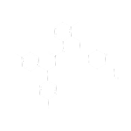 C[C@@H]1O[C@H](CCc2c(F)cccc2NC(=O)CC(c2ccc(F)cc2)c2ccc(F)cc2)CN[C@@H]1CO